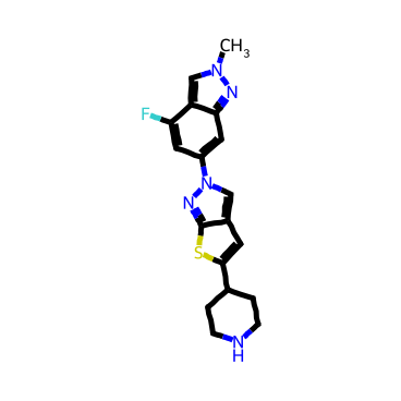 Cn1cc2c(F)cc(-n3cc4cc(C5CCNCC5)sc4n3)cc2n1